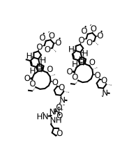 CC[C@H]1CCC[C@H](O[C@H]2CC[C@H](N(C)C)[C@@H](C)O2)[C@@H](C)C(=O)C2=C[C@@H]3[C@@H](C=C(C)[C@@H]4C[C@@H](O[C@@H]5O[C@@H](C)[C@H](OC)[C@@H](OC)[C@H]5OC)C[C@@H]34)[C@@H]2CC(=O)O1.CC[C@H]1CCC[C@H](O[C@H]2CC[C@H](N(C)C)[C@@H](C)O2)[C@@H](C)C(=O)C2=C[C@@H]3[C@@H](C=C[C@@H]4C[C@@H](O[C@@H]5O[C@@H](C)[C@H](OC)[C@@H](OC)[C@H]5OC)C[C@@H]34)[C@@H]2CC(=O)O1.CN/C(=N/[N+](=O)[O-])NCC1CCOC1